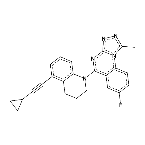 Cc1nnc2nc(N3CCCc4c(C#CC5CC5)cccc43)c3cc(F)ccc3n12